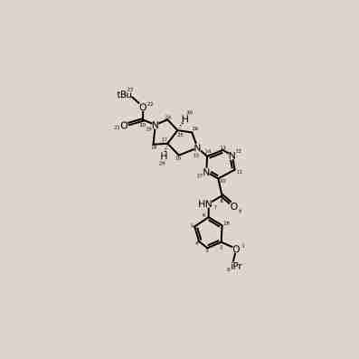 CC(C)Oc1cccc(NC(=O)c2cncc(N3C[C@H]4CN(C(=O)OC(C)(C)C)C[C@H]4C3)n2)c1